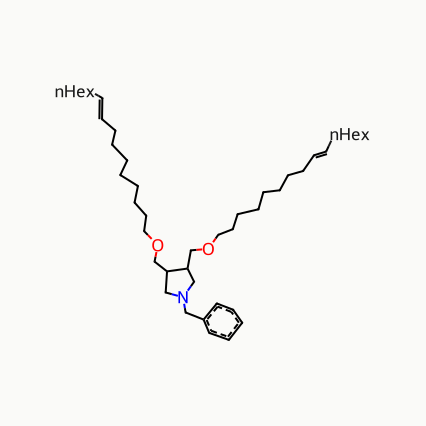 CCCCCCC=CCCCCCCCCOCC1CN(Cc2ccccc2)CC1COCCCCCCCCC=CCCCCCC